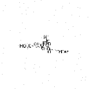 CCCCCCCCCCCCCCCC(=O)OC[C@H](COP(=O)(O)OCC[N+](C)(C)C)OC(=O)CCCC(O)/C=C/C(=O)O